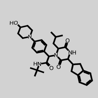 CC(C)CC1C(=O)NC(C2Cc3ccccc3C2)C(=O)N1C(C(=O)NC(C)(C)C)c1ccc(N2CCC(O)CC2)cc1